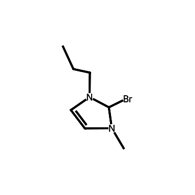 CCCN1C=CN(C)C1Br